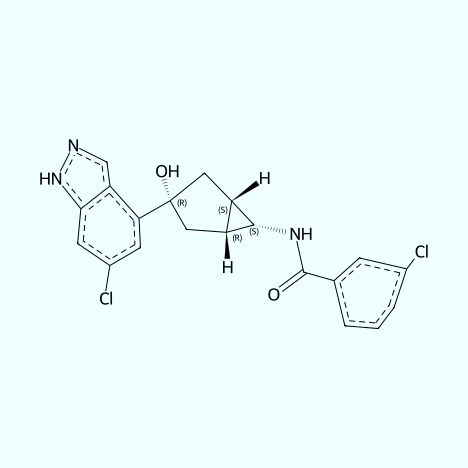 O=C(N[C@@H]1[C@@H]2C[C@@](O)(c3cc(Cl)cc4[nH]ncc34)C[C@@H]21)c1cccc(Cl)c1